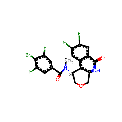 CN(C(=O)c1cc(F)c(Br)c(F)c1)[C@H]1COCc2[nH]c(=O)c3cc(F)c(F)cc3c21